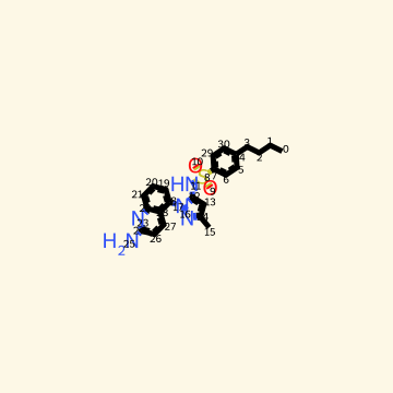 CCCCc1ccc(S(=O)(=O)Nc2cc(C)nn2-c2cccc3nc(N)ccc23)cc1